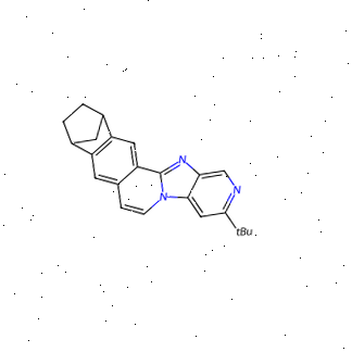 CC(C)(C)c1cc2c(cn1)nc1c3cc4c(cc3ccn21)C1CCC4C1